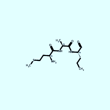 CCC[C@@H]([C]=O)NC(=O)[C@H](C)NC(=O)[C@@H](N)CCSC